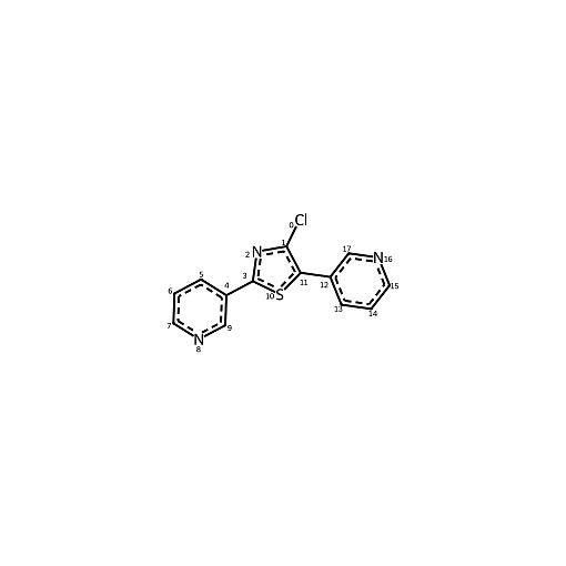 Clc1nc(-c2cccnc2)sc1-c1cccnc1